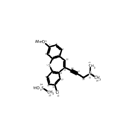 COc1ccc2c(c1)Sc1ccc(Cl)cc1C(C#CCN(C)C)=C2.CS(=O)(=O)O